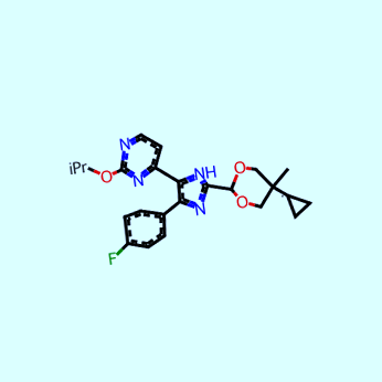 CC(C)Oc1nccc(-c2[nH]c(C3OCC(C)([C]4CC4)CO3)nc2-c2ccc(F)cc2)n1